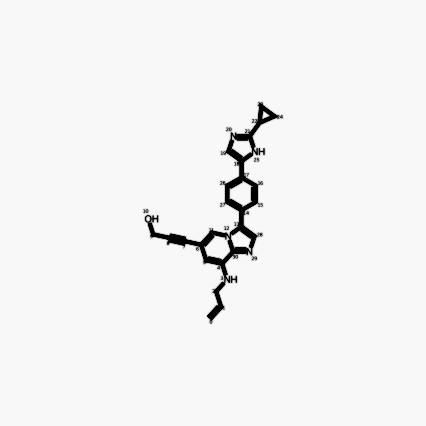 C=CCNc1cc(C#CCO)cn2c(-c3ccc(-c4cnc(C5CC5)[nH]4)cc3)cnc12